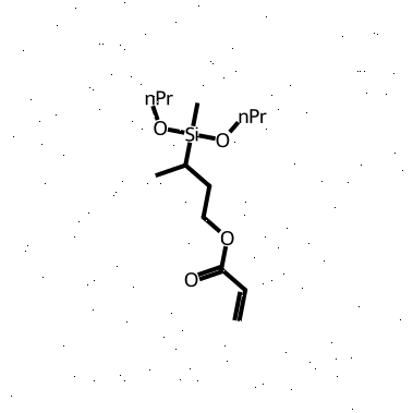 C=CC(=O)OCCC(C)[Si](C)(OCCC)OCCC